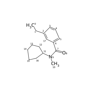 CCc1cccc(C(=O)N(C)C2CCCCC2)c1